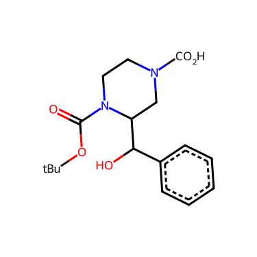 CC(C)(C)OC(=O)N1CCN(C(=O)O)CC1C(O)c1ccccc1